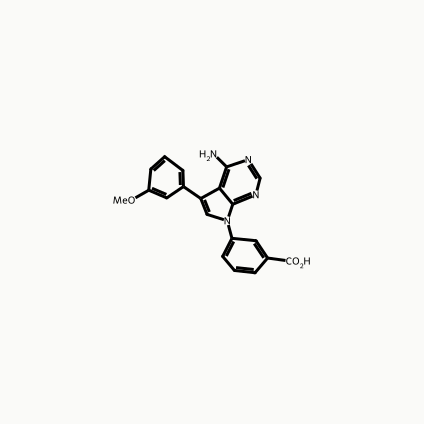 COc1cccc(-c2cn(-c3cccc(C(=O)O)c3)c3ncnc(N)c23)c1